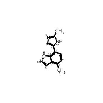 Cc1ncc(-c2ccc(C)c3cnoc23)[nH]1